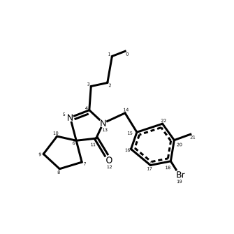 CCCCC1=NC2(CCCC2)C(=O)N1Cc1ccc(Br)c(C)c1